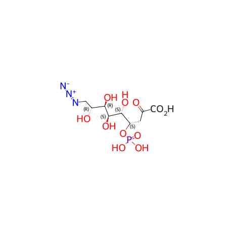 [N-]=[N+]=NC[C@@H](O)[C@@H](O)[C@H](O)[C@H](O)[C@H](CC(=O)C(=O)O)OP(=O)(O)O